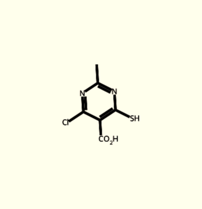 Cc1nc(S)c(C(=O)O)c(Cl)n1